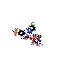 COc1cc(S(C)(=O)=O)ccc1N(C(=O)OCOC(=O)C(C(C)C)N(C)C(=O)OC(C)(C)C)c1nc2ccc(Cl)cn2n1